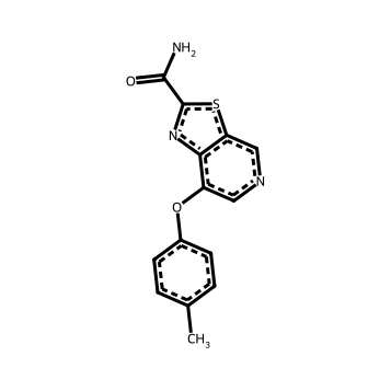 Cc1ccc(Oc2cncc3sc(C(N)=O)nc23)cc1